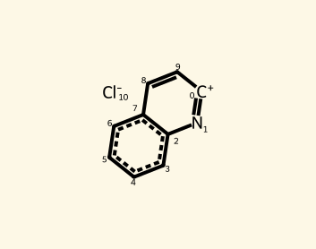 [C+]1=Nc2ccccc2C=C1.[Cl-]